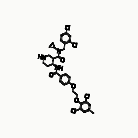 Cc1cc(Cl)c(OCCOc2ccc(C(=O)NC3CCNCC3C(=O)N(Cc3ccc(Cl)cc3Cl)C3CC3)cc2)c(Cl)c1